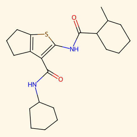 CC1CCCCC1C(=O)Nc1sc2c(c1C(=O)NC1CCCCC1)CCC2